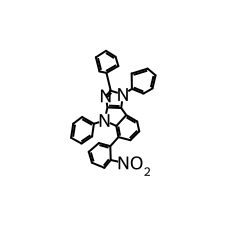 O=[N+]([O-])c1ccccc1-c1cccc2c3c(nc(-c4ccccc4)n3-c3ccccc3)n(-c3ccccc3)c12